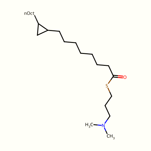 CCCCCCCCC1CC1CCCCCCCC(=O)SCCCN(C)C